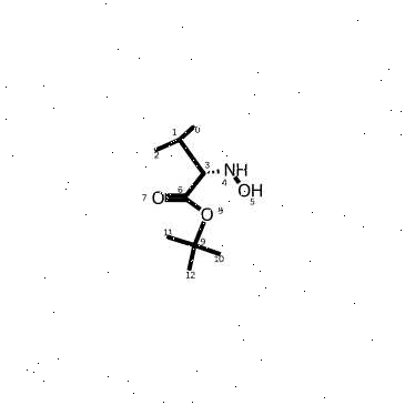 CC(C)[C@H](NO)C(=O)OC(C)(C)C